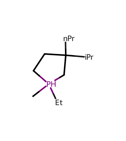 CCCC1(C(C)C)CC[PH](C)(CC)C1